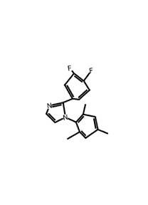 Cc1cc(C)c(-n2ccnc2-c2ccc(F)c(F)c2)c(C)c1